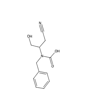 N#CCC(CO)N(Cc1ccccc1)C(=O)O